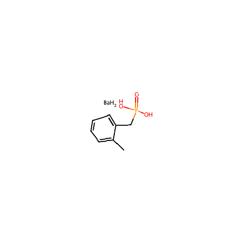 Cc1ccccc1CP(=O)(O)O.[BaH2]